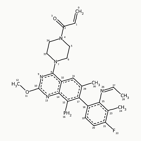 C=CC(=O)N1CCN(c2nc(OC)nc3c(P)c(-c4ccc(F)c(C)c4/N=C\C)c(C)cc23)CC1